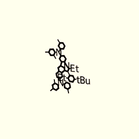 CCc1ccc(C(C)(C)C)cc1-c1c(CC)n2c3ccc(N(c4cccc(C)c4)c4ccc(C)cc4C)cc3c3cc4ccc(N(c5cccc(C)c5)c5ccc(C)cc5C)cc4c1c32